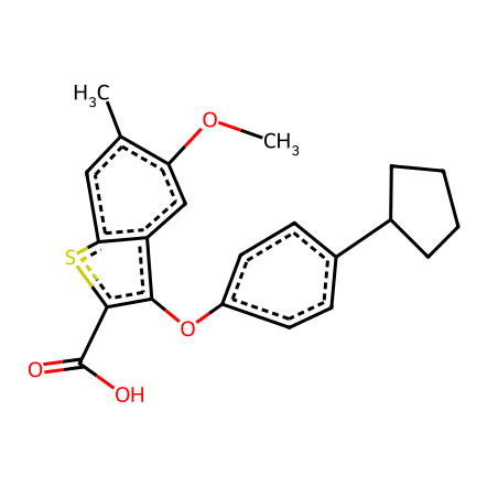 COc1cc2c(Oc3ccc(C4CCCC4)cc3)c(C(=O)O)sc2cc1C